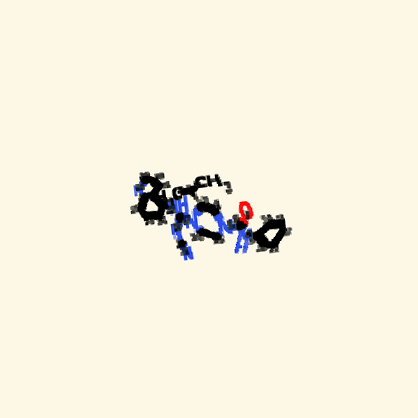 CC(C)[C@@H]1CN(C(=O)Nc2ccccc2)CCN1/C(=N\C#N)Nc1cccc2ncccc12